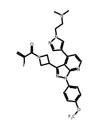 C=C(F)C(=O)N1CC(c2nn(-c3ccc(OC(F)(F)F)cc3)c3nccc(-c4cnn(CCN(C)C)c4)c23)C1